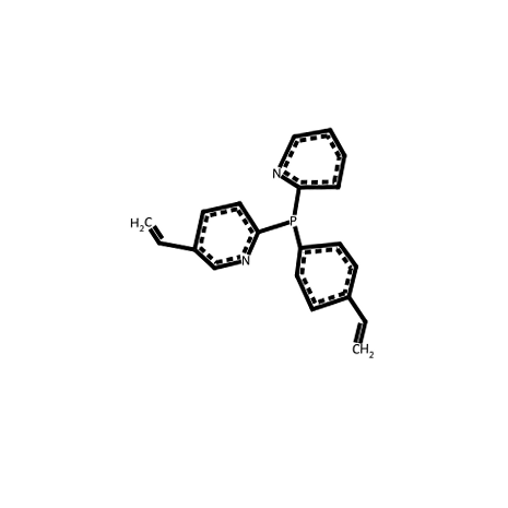 C=Cc1ccc(P(c2ccccn2)c2ccc(C=C)cn2)cc1